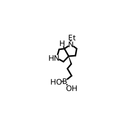 CCN1CC[C@]2(CCCB(O)O)CNC[C@H]12